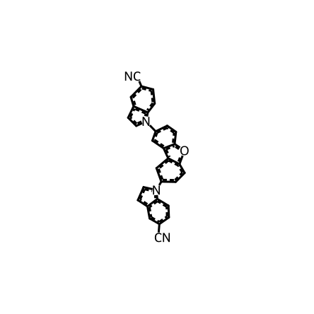 N#Cc1ccc2c(ccn2-c2ccc3oc4ccc(-n5ccc6cc(C#N)ccc65)cc4c3c2)c1